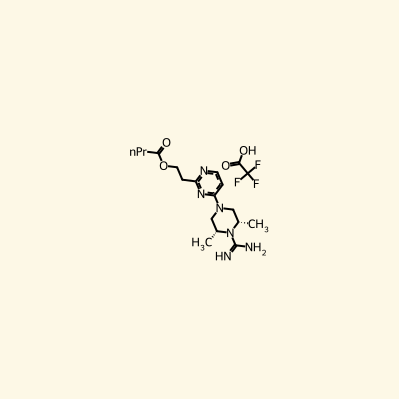 CCCC(=O)OCCc1nccc(N2C[C@@H](C)N(C(=N)N)[C@@H](C)C2)n1.O=C(O)C(F)(F)F